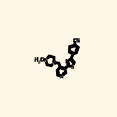 CN1CCN(Cc2ccncc2-c2nc(-c3ccc(C#N)cc3)cs2)CC1